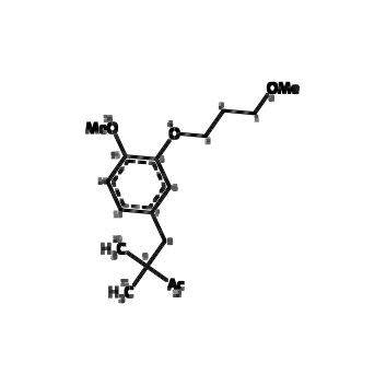 COCCCOc1cc(CC(C)(C)C(C)=O)ccc1OC